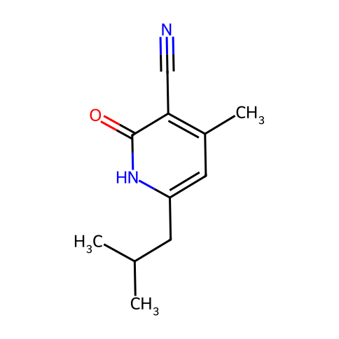 Cc1cc(CC(C)C)[nH]c(=O)c1C#N